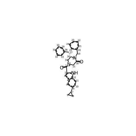 O=C(c1cc2cc(C3CC3)ccc2[nH]1)N1CC(=O)N(Cc2ccccc2)[C@@H](Cc2ccccc2)C1